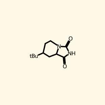 CC(C)(C)C1CCN2C(=O)NC(=O)C2C1